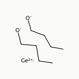 CCCC[O-].CCCC[O-].[Ge+2]